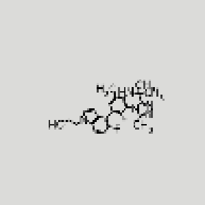 Cc1cc(-c2c(F)ccc3c2ccn3CCO)c(F)c2c1NC(C)(C)c1nnc(C)n1-2